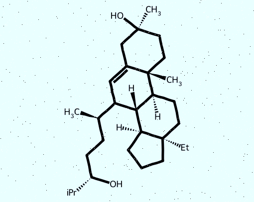 CC[C@]12CCC[C@H]1[C@@H]1C([C@H](C)CC[C@H](O)C(C)C)C=C3C[C@@](C)(O)CC[C@]3(C)[C@H]1CC2